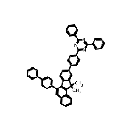 CC1(C)c2cc(-c3ccc(-c4nc(-c5ccccc5)nc(-c5ccccc5)n4)cc3)ccc2-c2c(C3=CC=C(c4ccccc4)CC3)cc3ccccc3c21